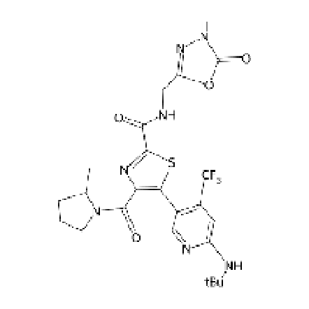 CC1CCCN1C(=O)c1nc(C(=O)NCc2n[nH]c(=O)o2)sc1-c1cnc(NC(C)(C)C)cc1C(F)(F)F